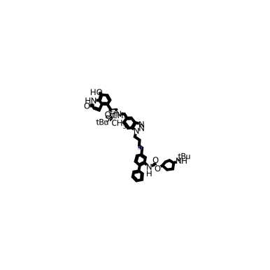 CC(C)(C)NC1CCC(OC(=O)Nc2cc(/C=C/CCn3nnc4cc(CNC[C@@H](O[Si](C)(C)C(C)(C)C)c5ccc(O)c6[nH]c(=O)ccc56)ccc43)ccc2-c2ccccc2)CC1